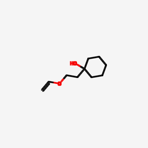 C=COCCC1(O)CCCCC1